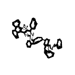 C[Si]1(C)c2c(-c3ccccc3)nc(-n3c4ccccc4c4cc(-c5ccc6c(c5)c5ccccc5n6-c5ccccc5)ccc43)nc2-c2c1c1ccccc1c1ccccc21